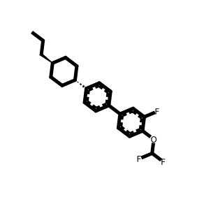 CCC[C@H]1CC[C@H](c2ccc(-c3ccc(OC(F)F)c(F)c3)cc2)CC1